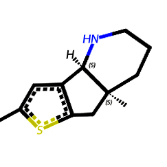 Cc1cc2c(s1)C[C@]1(C)CCCN[C@H]21